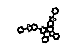 c1ccc(-c2nc3cc(-c4nc(-c5ccc6oc(-c7ccccc7)nc6c5)nc(-c5ccccc5-n5c6ccccc6c6ccccc65)n4)ccc3o2)cc1